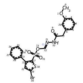 COc1cccc(CC(=O)N/N=C/OS(=O)(=O)c2sc(Br)cc2-c2ccccc2)c1